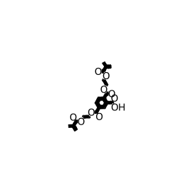 C=C(C)C(=O)OCCOC(=O)c1ccc(C(=O)OCCOC(=O)C(=C)C)c(C(=O)O)c1